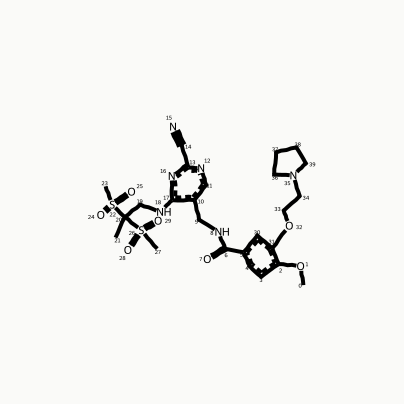 COc1ccc(C(=O)NCc2cnc(C#N)nc2NCC(C)(S(C)(=O)=O)S(C)(=O)=O)cc1OCCN1CCCC1